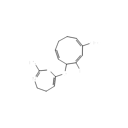 NC1=NCCC=C(OC2C=CCCC=C(C=O)/C=C\2F)S1